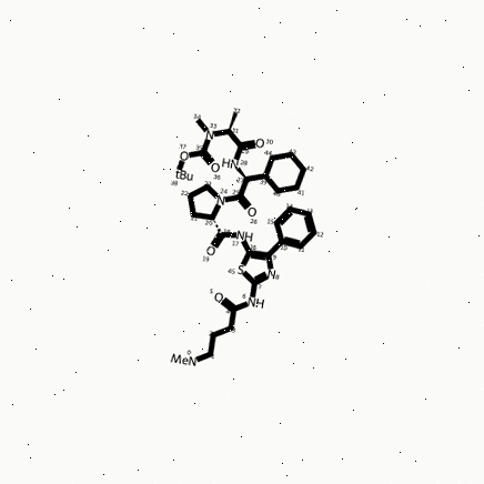 CNCCCC(=O)Nc1nc(-c2ccccc2)c(NC(=O)[C@@H]2CCCN2C(=O)[C@@H](NC(=O)[C@H](C)N(C)C(=O)OC(C)(C)C)C2CCCCC2)s1